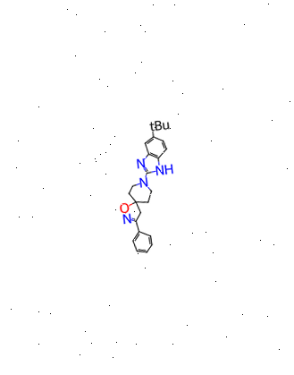 CC(C)(C)c1ccc2[nH]c(N3CCC4(CC3)CC(c3ccccc3)=NO4)nc2c1